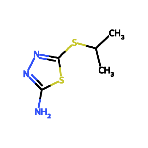 CC(C)Sc1nnc(N)s1